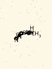 CNc1ccc(COc2ccc3oc(-c4cccnc4)nc3c2)nc1